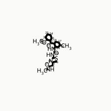 CNC(=O)Cc1csc(NC(=O)Nc2cc(C)ccc2C(=O)c2ccccc2OC)n1